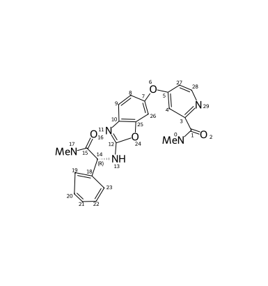 CNC(=O)c1cc(Oc2ccc3nc(N[C@@H](C(=O)NC)c4ccccc4)oc3c2)ccn1